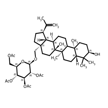 C=C(C)[C@@H]1CC[C@]2(CO[C@@H]3O[C@H](COC(C)=O)[C@@H](OC(C)=O)[C@H](OC(C)=O)[C@H]3OC(C)=O)CC[C@]3(C)[C@H](CCC4[C@@]5(C)CC[C@@H](O)C(C)(C)[C@@H]5CC[C@]43C)[C@@H]12